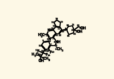 Cc1nc(N[C@H](C)c2cccc(C(F)(F)C(C)(C)O)c2F)c2cc(N3CCC(O)(CO)CC3)c3c(c2n1)CCC3